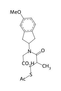 COc1ccc2c(c1)CC(N(CC(=O)O)C(=O)C(C)CSC(C)=O)C2